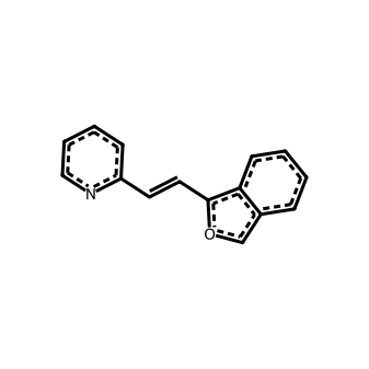 C(=Cc1occ2ccccc12)c1ccccn1